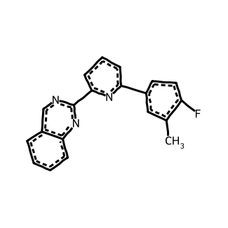 Cc1cc(-c2cccc(-c3ncc4ccccc4n3)n2)ccc1F